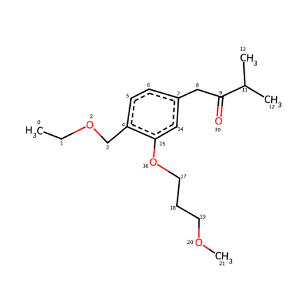 CCOCc1ccc(CC(=O)C(C)C)cc1OCCCOC